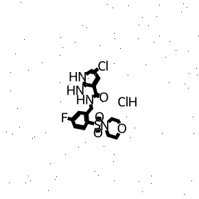 Cl.N=c1[nH]cc(Cl)cc1C(=O)NCc1cc(F)ccc1S(=O)(=O)N1CCOCC1